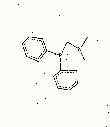 CN(C)CP(c1ccccc1)c1ccccc1